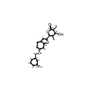 Cc1c(-c2cc3ccc(OCc4cccc(F)c4)cc3o2)oc(=O)c(C)c1O